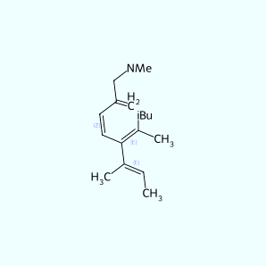 C=C(\C=C/C(C(/C)=C/C)=C(/C)C(C)CC)CNC